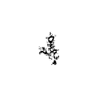 Cc1cc(Nc2nc(C(F)(F)c3ccc(F)cc3)nc3ccc(CNC4CC4)n23)n[nH]1